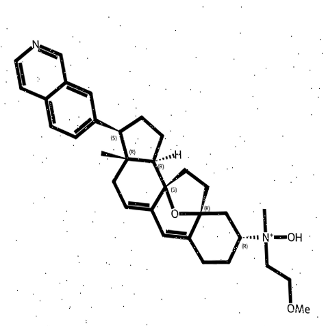 COCC[N+](C)(O)[C@@H]1CCC2=CC3=CC[C@]4(C)[C@@H](c5ccc6ccncc6c5)CC[C@H]4[C@@]34CC[C@]2(C1)O4